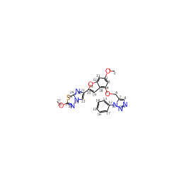 COc1cc(OCc2cnnn2-c2ccccc2)c2cc(-c3cn4nc(OC)sc4n3)oc2c1